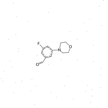 O=Cc1cc(F)cc(N2CCOCC2)c1